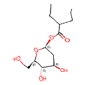 CCC(CC)C(=O)O[C@H]1C[C@@H](O)[C@H](O)[C@@H](CO)O1